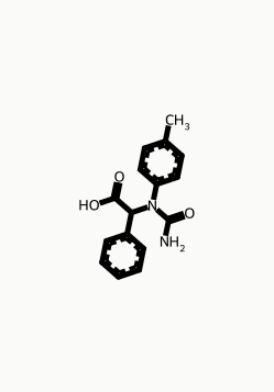 Cc1ccc(N(C(N)=O)C(C(=O)O)c2ccccc2)cc1